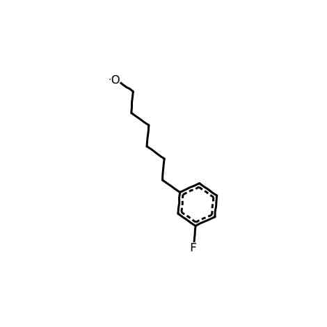 [O]CCCCCCc1cccc(F)c1